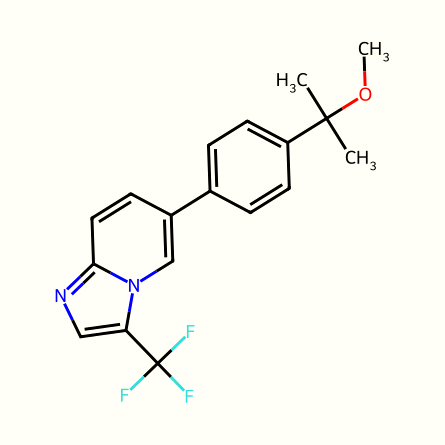 COC(C)(C)c1ccc(-c2ccc3ncc(C(F)(F)F)n3c2)cc1